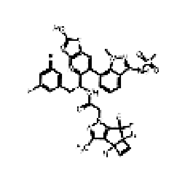 Cn1nc(NS(C)(=O)=O)c2cccc(-c3cc4sc(O)nc4nc3[C@H](Cc3cc(F)cc(F)c3)NC(=O)Cn3nc(C(F)(F)F)c4c3C(F)(F)[C@@H]3C=C[C@H]43)c21